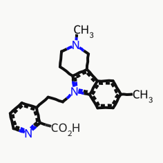 Cc1ccc2c(c1)c1c(n2CCc2cccnc2C(=O)O)CCN(C)C1